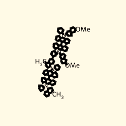 COc1ccc2cc(N(c3ccccc3)c3c4ccccc4c(-c4c5ccccc5c(N(c5cccc(-c6ccc7c(N(c8ccccc8)c8c9ccccc9c(-c9c%10ccccc%10c(N(c%10ccccc%10)c%10ccc(C)c%11ccccc%10%11)c%10ccccc9%10)c9ccccc89)ccc(C)c7c6)c5)c5ccc6cc(OC)ccc6c5)c5ccccc45)c4ccccc34)ccc2c1